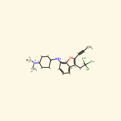 CC#Cc1oc2c(NC3CCC(N(C)C)CC3)cccc2c1CC(F)(F)F